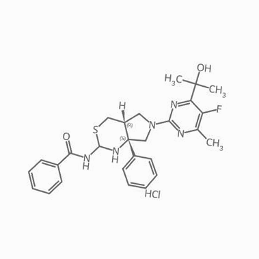 Cc1nc(N2C[C@H]3CSC(NC(=O)c4ccccc4)N[C@@]3(c3ccccc3)C2)nc(C(C)(C)O)c1F.Cl